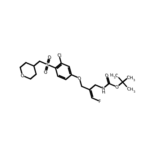 CC(C)(C)OC(=O)NC/C(=C\F)COc1ccc(S(=O)(=O)CC2CCOCC2)c(Cl)c1